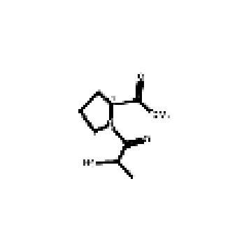 COC(=O)[C@@H]1CCCN1C(=O)C(C)S